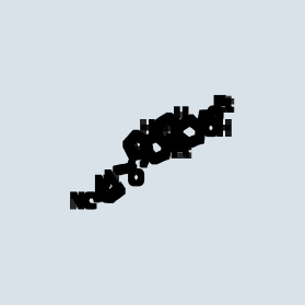 CCOC[C@@]1(O)CC[C@@]2(CC)[C@H](CC[C@H]3[C@@H]4CC[C@H](C(=O)Cn5ccc(C#N)n5)[C@@]4(C)CC[C@@H]32)C1